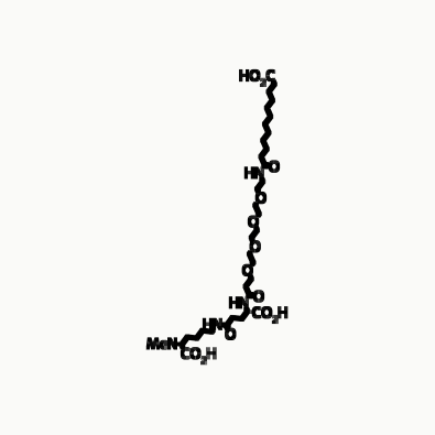 CN[C@@H](CCCCNC(=O)CC[C@H](NC(=O)CCOCCOCCOCCOCCNC(=O)CCCCCCCCCCC(=O)O)C(=O)O)C(=O)O